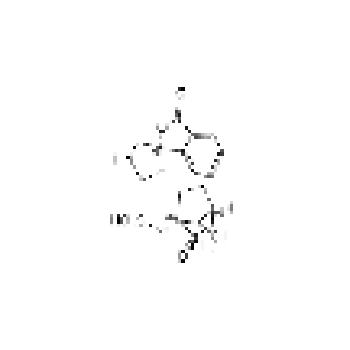 CC1(C)[C@H]2CC[C@]1(CS(=O)(=O)O)C(=O)C2.O=C1O[C@@]2(CCNC2)c2ccccc21